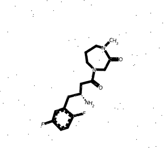 CN1CCCN(C(=O)C[C@H](N)Cc2cc(F)ccc2F)CC1=O